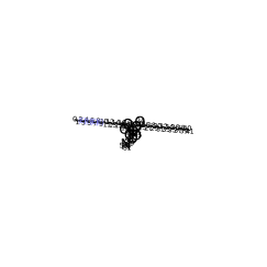 CC/C=C/C=C/C=C/C=C/CCCCCCCC(=O)O[C@H](COC(=O)CCCCCCCCCCCCCCCCC)COP(=O)([O-])OCC[N+](C)(C)C